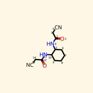 N#CCC(=O)NC1CCCCC1NC(=O)CC#N